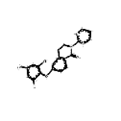 Nc1cc(Cl)c(Oc2ccc3c(c2)CCN(c2ncccn2)C3=O)c(Cl)c1